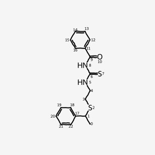 CC(SCCNC(=S)NC(=O)c1ccccc1)c1ccccc1